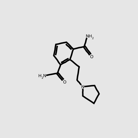 NC(=O)c1cccc(C(N)=O)c1CCN1CCCC1